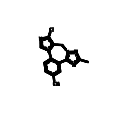 Cc1nc2n(n1)Cc1c(Cl)ncn1-c1ccc(C#N)cc1-2